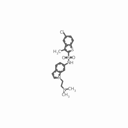 Cc1c(S(=O)(=O)Nc2ccc3ccn(CCN(C)C)c3c2)sc2ccc(Cl)cc12